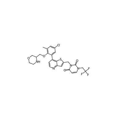 Cc1cc(Cl)cc(-c2ccnc3cc(Cn4c(=O)ccn(CC(F)(F)F)c4=O)sc23)c1OCC1COCCN1